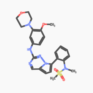 COc1ccc(Nc2ncc3ccc(-c4ccccc4N(C)S(C)(=O)=O)n3n2)cc1N1CCOCC1